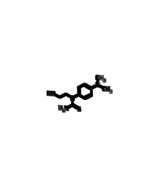 CN(C)c1ccc(N(CCO)C(N)=S)cc1